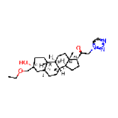 CCOC[C@@]1(O)CC[C@@H]2[C@H]3CC[C@]4(C)[C@@H](C(=O)Cn5ccnn5)CC[C@H]4[C@@H]3CC[C@@]2(C)C1